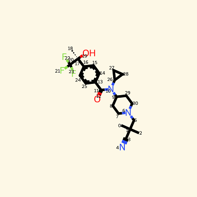 CC(C)(C#N)CN1CCC(N(C(=O)c2ccc([C@](C)(O)C(F)(F)F)cc2)C2CC2)CC1